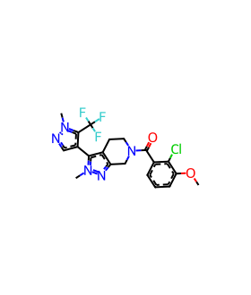 COc1cccc(C(=O)N2CCc3c(nn(C)c3-c3cnn(C)c3C(F)(F)F)C2)c1Cl